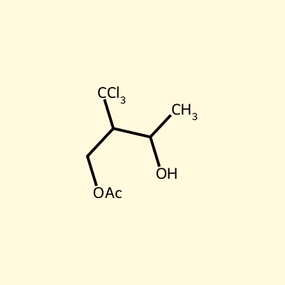 CC(=O)OCC(C(C)O)C(Cl)(Cl)Cl